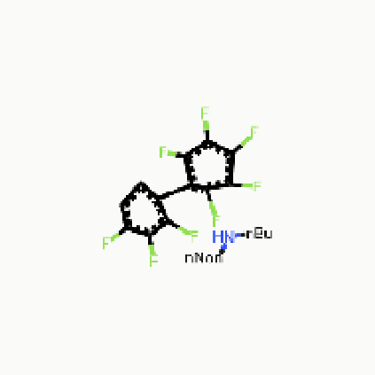 CCCCCCCCCNCCCC.Fc1ccc(-c2c(F)c(F)c(F)c(F)c2F)c(F)c1F